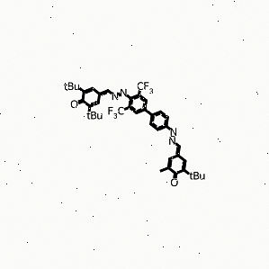 CC1=C/C(=C\N=N\c2ccc(-c3cc(C(F)(F)F)c(/N=N/C=C4C=C(C(C)(C)C)C(=O)C(C(C)(C)C)=C4)c(C(F)(F)F)c3)cc2)C=C(C(C)(C)C)C1=O